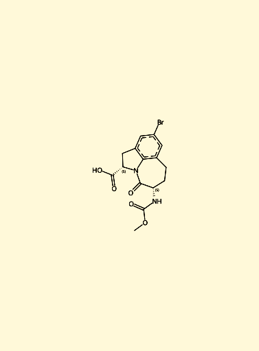 COC(=O)N[C@H]1CCc2cc(Br)cc3c2N(C1=O)[C@H](C(=O)O)C3